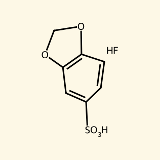 F.O=S(=O)(O)c1ccc2c(c1)OCO2